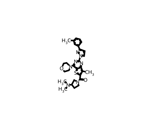 Cc1cccc(-c2ccn(-c3nc(N4CCOCC4)c4sc(C(=O)N5CCC(N(C)C)C5)c(C)c4n3)n2)c1